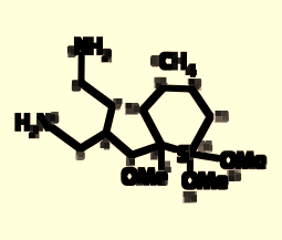 C.COC1(CC(CN)CCN)CCCC[Si]1(OC)OC